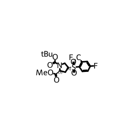 COC(=O)[C@@H]1C[C@@H](S(=O)(=O)c2ccc(F)cc2C(F)(F)F)CN1C(=O)OC(C)(C)C